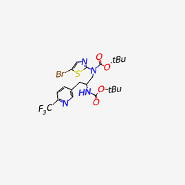 CC(C)(C)OC(=O)NC(Cc1ccc(C(F)(F)F)nc1)CN(C(=O)OC(C)(C)C)c1ncc(Br)s1